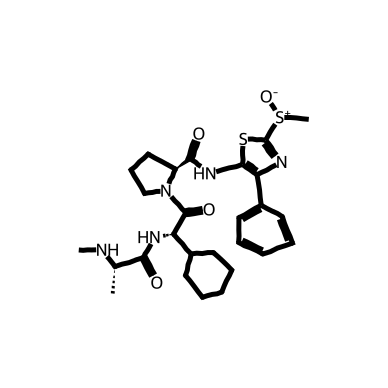 CN[C@@H](C)C(=O)N[C@H](C(=O)N1CCC[C@H]1C(=O)Nc1sc([S+](C)[O-])nc1-c1ccccc1)C1CCCCC1